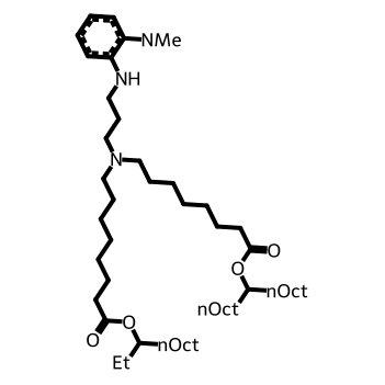 CCCCCCCCC(CC)OC(=O)CCCCCCCN(CCCCCCCC(=O)OC(CCCCCCCC)CCCCCCCC)CCCNc1ccccc1NC